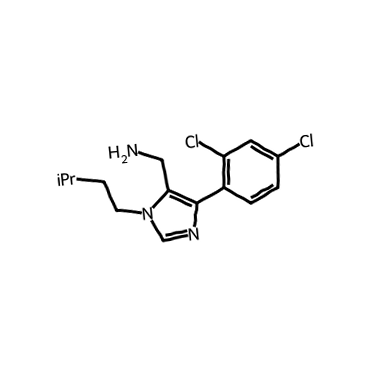 CC(C)CCn1cnc(-c2ccc(Cl)cc2Cl)c1CN